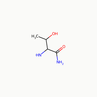 CC(O)C([NH])C(N)=O